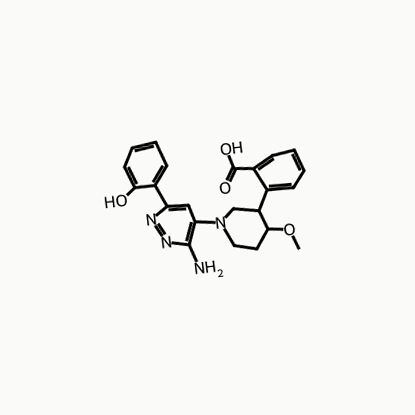 COC1CCN(c2cc(-c3ccccc3O)nnc2N)CC1c1ccccc1C(=O)O